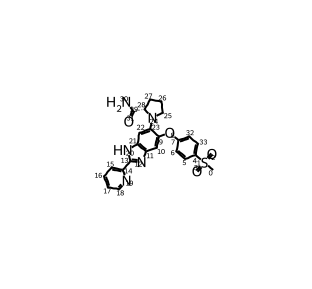 CS(=O)(=O)c1ccc(Oc2cc3nc(-c4ccccn4)[nH]c3cc2N2CCC[C@H]2C(N)=O)cc1